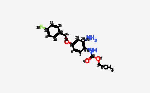 CCOC(=O)Nc1ccc(OCc2ccc(F)cc2)cc1N